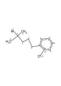 CC(C)(Br)CCCc1ccccc1Cl